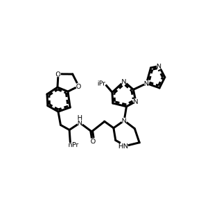 CCCC(Cc1ccc2c(c1)OCO2)NC(=O)CC1CNCCN1c1cc(C(C)C)nc(-n2ccnc2)n1